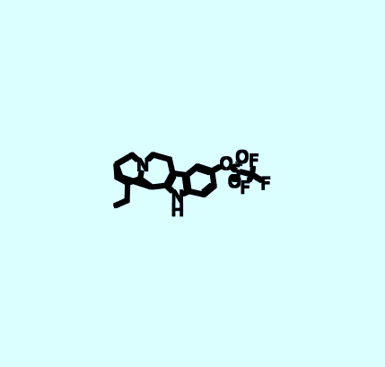 CCC1CC2CC3c4[nH]c5ccc(OS(=O)(=O)C(F)(F)F)cc5c4CCN(C2)C13